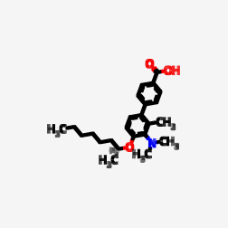 CCCCCC[C@@H](C)Oc1ccc(-c2ccc(C(=O)O)cc2)c(C)c1N(C)C